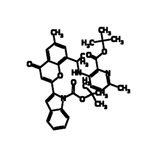 Cc1cc(C(C)Nc2ccc(C)nc2C(=O)OC(C)(C)C)c2oc(-c3cc4ccccc4n3C(=O)OC(C)(C)C)cc(=O)c2c1